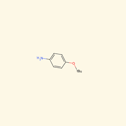 CC(C)(C)Oc1ccc(N)cc1